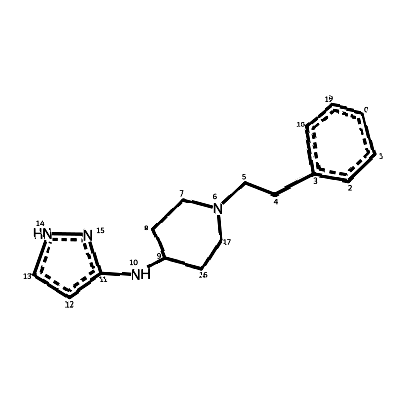 c1ccc(CCN2CCC(Nc3cc[nH]n3)CC2)cc1